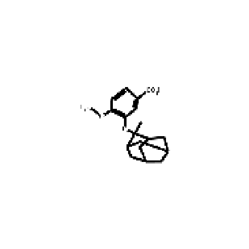 CC1(Oc2cc(C(=O)O)ccc2OC(F)(F)F)C2CC3CC(C2)CC1C3